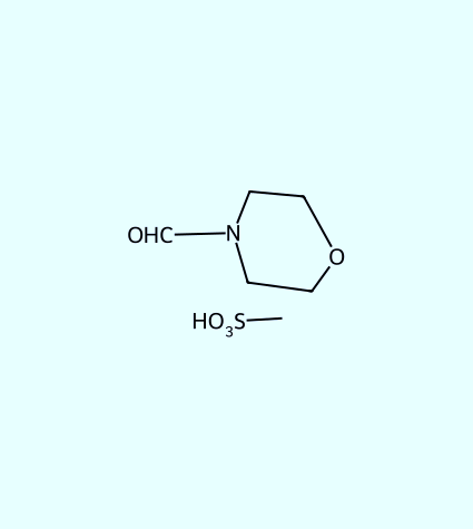 CS(=O)(=O)O.O=CN1CCOCC1